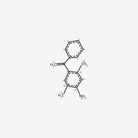 C=C(c1ccccc1)c1cc(C)c([N+](=O)[O-])cc1C